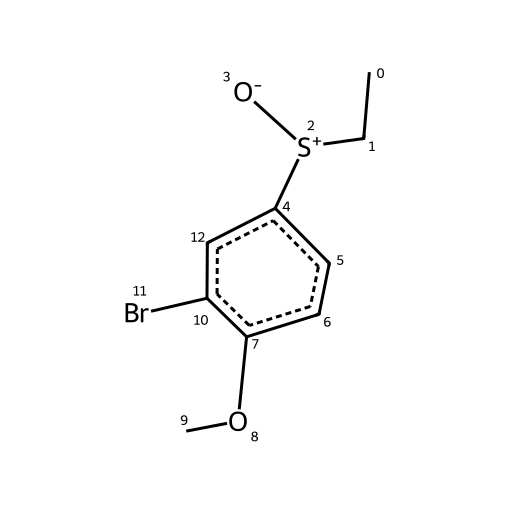 CC[S+]([O-])c1ccc(OC)c(Br)c1